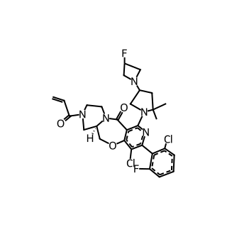 C=CC(=O)N1CCN2C(=O)c3c(N4CC(N5CC(F)C5)CC4(C)C)nc(-c4c(F)cccc4Cl)c(Cl)c3OC[C@H]2C1